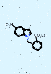 CCOC(=O)c1ccccc1Cn1ccc2cc([N+](=O)[O-])ccc21